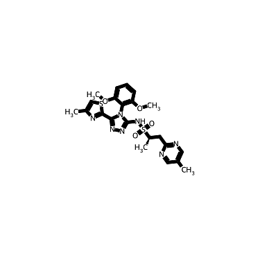 COc1cccc(OC)c1-n1c(NS(=O)(=O)[C@H](C)Cc2ncc(C)cn2)nnc1-c1nc(C)cs1